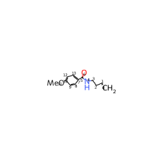 C=CCCNC(=O)c1ccc(OC)cc1